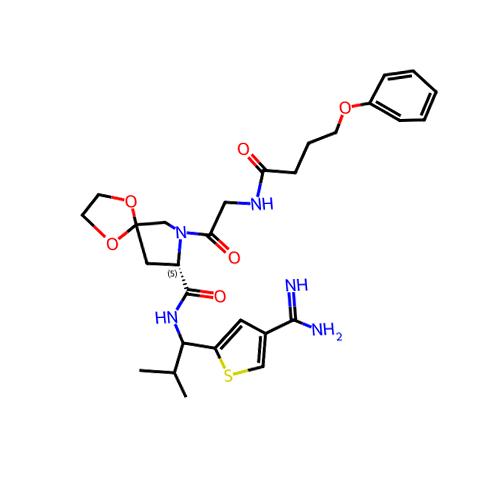 CC(C)C(NC(=O)[C@@H]1CC2(CN1C(=O)CNC(=O)CCCOc1ccccc1)OCCO2)c1cc(C(=N)N)cs1